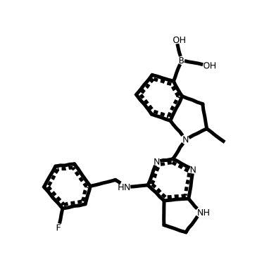 CC1Cc2c(B(O)O)cccc2N1c1nc2c(c(NCc3cccc(F)c3)n1)CCN2